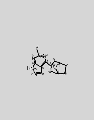 Cc1nc(N2CC3CCC(C2)O3)c2cn[nH]c2n1